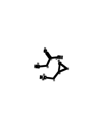 CCC1CO1.O=C(O)CO